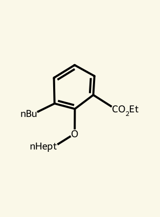 CCCCCCCOc1c(CCCC)cccc1C(=O)OCC